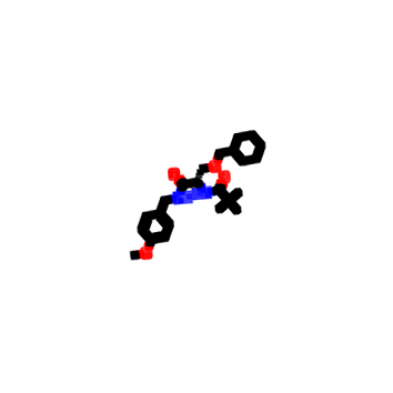 COc1ccc(CNC(=O)[C@H](COCC2CCCCC2)NC(=O)C(C)(C)C)cc1